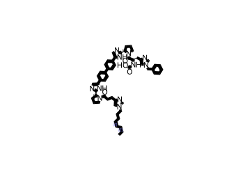 C/C=C\C=C/CCCn1cnc(CCC(=O)N2CCC[C@H]2c2ncc(-c3ccc(-c4ccc(-c5cnc([C@@H]6CCCN6C(=O)[C@H](Cc6cn(Cc7ccccc7)cn6)NC(=O)O)[nH]5)cc4)cc3)[nH]2)c1